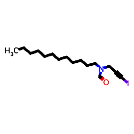 CCCCCCCCCCCCN(C=O)CC#CI